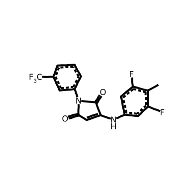 Cc1c(F)cc(NC2=CC(=O)N(c3cccc(C(F)(F)F)c3)C2=O)cc1F